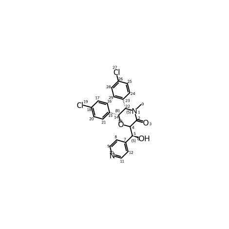 CN1C(=O)C([C@@H](O)c2ccncc2)O[C@H](c2ccc(Cl)cc2)[C@@H]1c1ccc(Cl)cc1